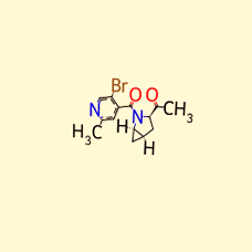 CC(=O)[C@H]1C[C@H]2C[C@H]2N1C(=O)c1cc(C)ncc1Br